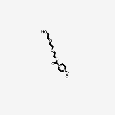 O=PN1CCN(C(=O)OCCOCCOCCO)CC1